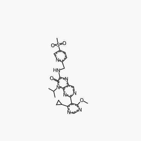 COc1ncnc(C2CC2)c1-c1ncc2nc(NCc3ccc(S(C)(=O)=O)cn3)c(=O)n(C(C)C)c2n1